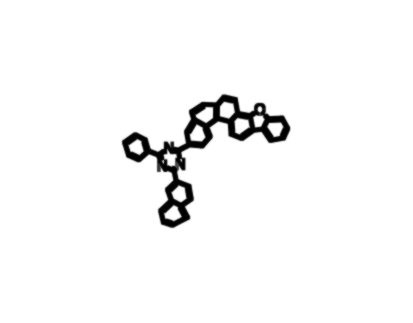 c1ccc(-c2nc(-c3ccc4ccccc4c3)nc(-c3ccc4c(ccc5ccc6c(ccc7c8ccccc8oc76)c54)c3)n2)cc1